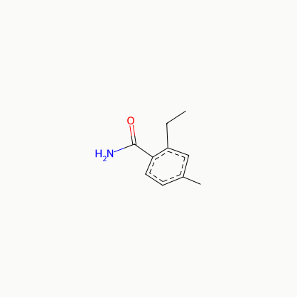 CCc1cc(C)ccc1C(N)=O